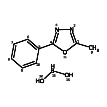 Cc1nnc(-c2ccccc2)o1.OBO